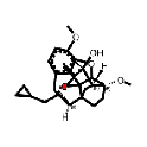 COc1ccc2c3c1OC1C34CCN(CC3CC3)[C@H](C2)C42CC[C@@]1(OC)[C@@H]([C@@](C)(O)C(C)(C)C)C2